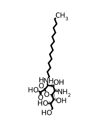 CCCCCCCCCCCCCCCNC1[C@H](O)[C@@H](N)[C@H]([C@H](O)[C@H](O)CO)OC1(O)C(=O)O